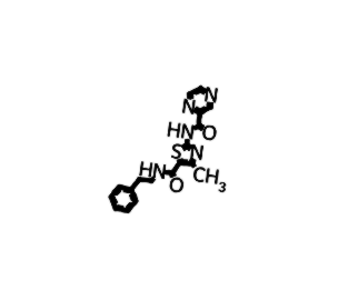 Cc1nc(NC(=O)c2cnccn2)sc1C(=O)NCCc1ccccc1